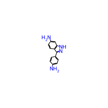 Nc1ccc(-c2n[nH]c3cc(N)ccc23)cc1